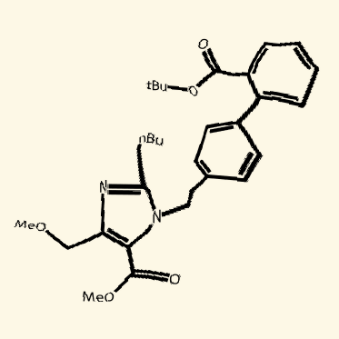 CCCCc1nc(COC)c(C(=O)OC)n1Cc1ccc(-c2ccccc2C(=O)OC(C)(C)C)cc1